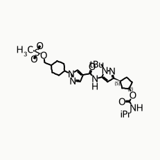 CC(C)NC(=O)O[C@@H]1CC[C@H](c2cc(NC(=O)c3cnn(C4CCC(COS(C)(=O)=O)CC4)c3)n(C(C)(C)C)n2)C1